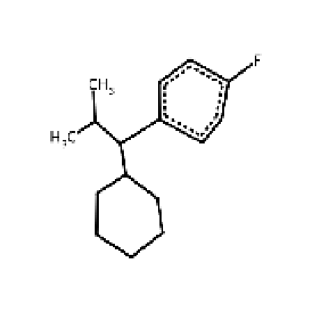 CC(C)C(c1ccc(F)cc1)C1CCCCC1